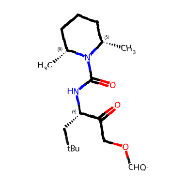 C[C@@H]1CCC[C@H](C)N1C(=O)N[C@@H](CC(C)(C)C)C(=O)CO[C]=O